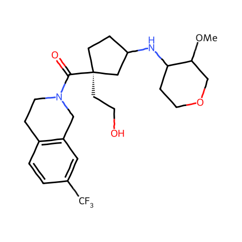 COC1COCCC1NC1CC[C@](CCO)(C(=O)N2CCc3ccc(C(F)(F)F)cc3C2)C1